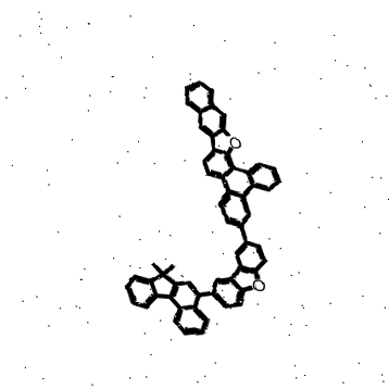 CC1(C)c2ccccc2-c2c1cc(-c1ccc3oc4ccc(-c5ccc6c(c5)c5ccccc5c5c6ccc6c7cc8ccccc8cc7oc65)cc4c3c1)c1ccccc21